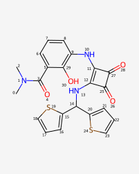 CN(C)C(=O)c1cccc(Nc2c(NC(c3cccs3)c3cccs3)c(=O)c2=O)c1O